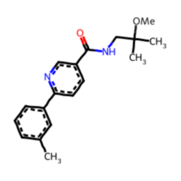 COC(C)(C)CNC(=O)c1ccc(-c2cccc(C)c2)nc1